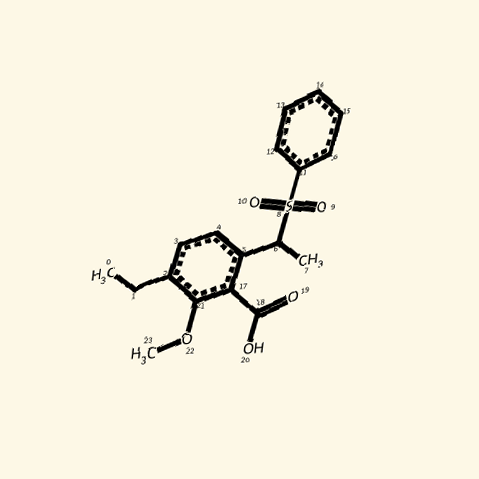 CCc1ccc(C(C)S(=O)(=O)c2ccccc2)c(C(=O)O)c1OC